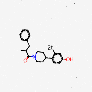 CCc1cc(O)ccc1C1CCN(C(=O)C(C)Cc2ccccc2)CC1